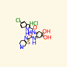 CN1CCc2nc(C(=O)N[C@H]3C[C@@H](O)[C@@H](O)C[C@H]3NC(=O)c3cc4cc(Cl)ccc4[nH]3)sc2C1.Cl